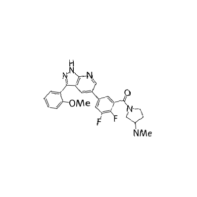 CNC1CCN(C(=O)c2cc(-c3cnc4[nH]nc(-c5ccccc5OC)c4c3)cc(F)c2F)C1